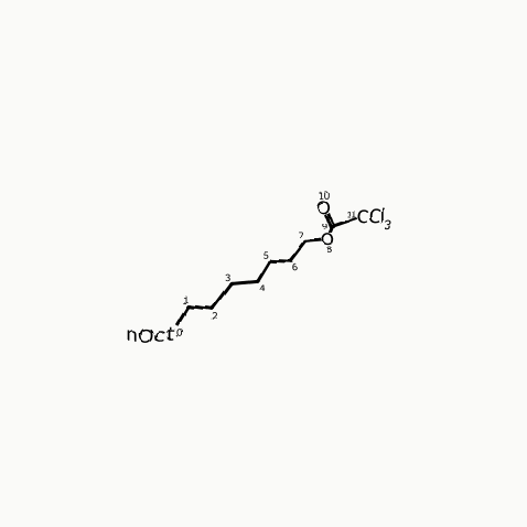 CCCCCCCCCCCCCCCOC(=O)C(Cl)(Cl)Cl